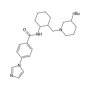 CCCCC1CCCN(CC2CCCCC2NC(=O)c2ccc(-n3ccnc3)cc2)C1